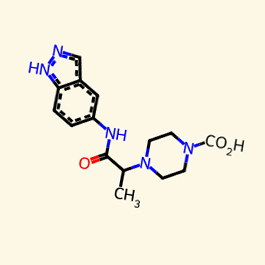 CC(C(=O)Nc1ccc2[nH]ncc2c1)N1CCN(C(=O)O)CC1